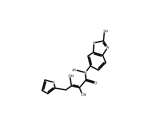 CC(C)N(C(=O)C(C#N)=C(O)Cc1cccs1)c1ccc2nc(S)sc2c1